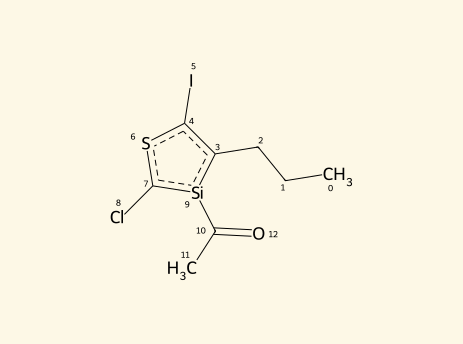 CCCc1c(I)sc(Cl)[si]1C(C)=O